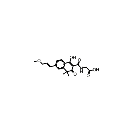 COCC=Cc1ccc2c(c1)C(C)(C)C(=O)C(C(=O)NCC(=O)O)=C2O